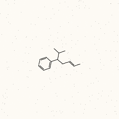 CC=CCC(c1ccccc1)C(C)C